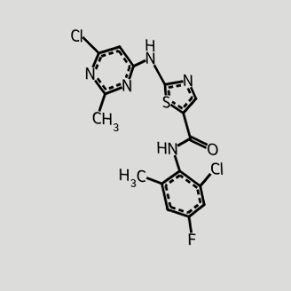 Cc1nc(Cl)cc(Nc2ncc(C(=O)Nc3c(C)cc(F)cc3Cl)s2)n1